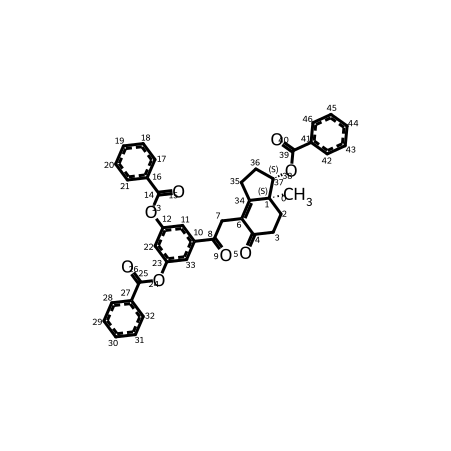 C[C@]12CCC(=O)C(CC(=O)c3cc(OC(=O)c4ccccc4)cc(OC(=O)c4ccccc4)c3)=C1CC[C@@H]2OC(=O)c1ccccc1